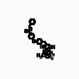 CC(C)(C)OC(=O)N[C@H](CO)Cc1ccc(OC2CCN(C(=O)OCc3ccccc3)CC2)cc1